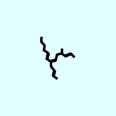 CC=CCC(C=CCCCC)=CCC(C)C=CC